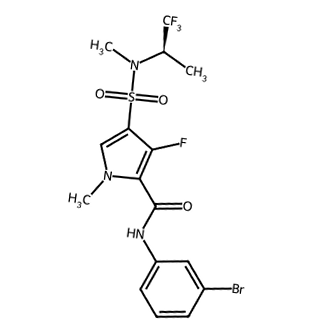 C[C@@H](N(C)S(=O)(=O)c1cn(C)c(C(=O)Nc2cccc(Br)c2)c1F)C(F)(F)F